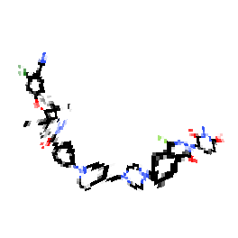 CC1(C)[C@H](NC(=O)c2ccc(N3CCC(CN4CCN(c5ccc6c(=O)n(C7CCC(=O)NC7=O)nc(F)c6c5)CC4)CC3)cc2)C(C)(C)[C@H]1Oc1ccc(C#N)c(Cl)c1